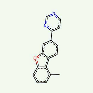 Cc1cccc2oc3cc(-c4ccncn4)ccc3c12